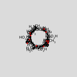 C=C/C(=C\C)CSC[C@H]1NC(=O)[C@@H](C)NC(=O)[C@H](Cc2cccc3ccccc23)NC(=O)[C@H](CCC(=O)O)NC(=O)[C@H](CC(N)=O)NC(=O)[C@@H](C)NC(=O)[C@@H](NC(=O)[C@H](C)N)CSCCSC[C@@H](C(N)=O)NC(=O)[C@H](C(C)(C)C)NC(=O)[C@H](CC(=O)O)NC(=O)[C@H](C[C@@H](C)C(O)C=C)NC(=O)[C@H](Cc2ccccc2)NC2O[C@@H]2[C@H](CC(=O)O)NC(=O)[C@H](CCC(=O)O)NC1=O